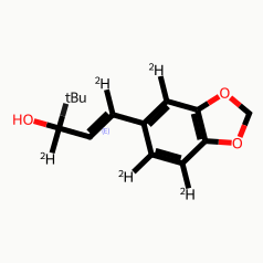 [2H]/C(=C\C([2H])(O)C(C)(C)C)c1c([2H])c([2H])c2c(c1[2H])OCO2